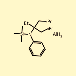 [AlH3].[CH2]CC(CC(C)C)(CC(C)C)N(c1ccccc1)[Si](C)(C)C